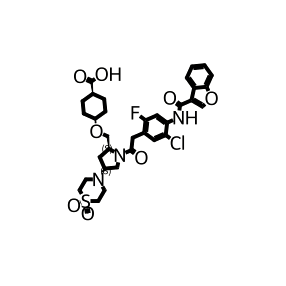 O=C(Nc1cc(F)c(CC(=O)N2C[C@@H](N3CCS(=O)(=O)CC3)C[C@H]2CO[C@H]2CC[C@H](C(=O)O)CC2)cc1Cl)c1coc2ccccc12